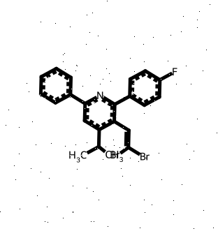 CC(C)c1cc(-c2ccccc2)nc(-c2ccc(F)cc2)c1C=C(Br)Br